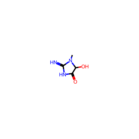 CN1C(=N)NC(=O)C1O